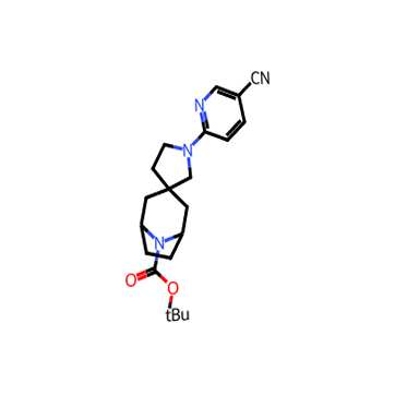 CC(C)(C)OC(=O)N1C2CCC1CC1(CCN(c3ccc(C#N)cn3)C1)C2